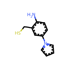 Nc1ccc(-n2cccc2)cc1CS